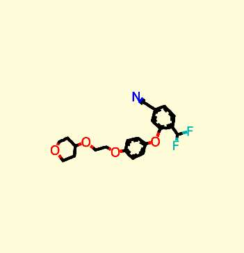 N#Cc1ccc(C(F)F)c(Oc2ccc(OCCOC3CCOCC3)cc2)c1